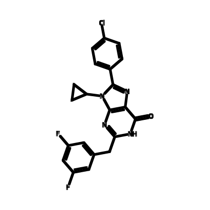 O=c1[nH]c(Cc2cc(F)cc(F)c2)nc2c1nc(-c1ccc(Cl)cc1)n2C1CC1